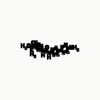 CC(C)(c1cc(NC(=O)Nc2ccc(-c3ccc(N)nc3)cn2)no1)C(F)(F)F